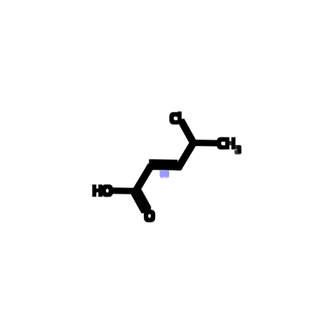 CC(Cl)/C=C/C(=O)O